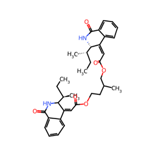 CC[C@@H](C)C1NC(=O)c2ccccc2/C1=C/C(=O)OCCC(C)COC(=O)/C=C1/c2ccccc2C(=O)N[C@H]1[C@@H](C)CC